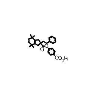 CC1(C)CCC(C)(C)C2=C1CC(CCc1ccccc1)(C(=O)Oc1ccc(C(=O)O)cc1)C2